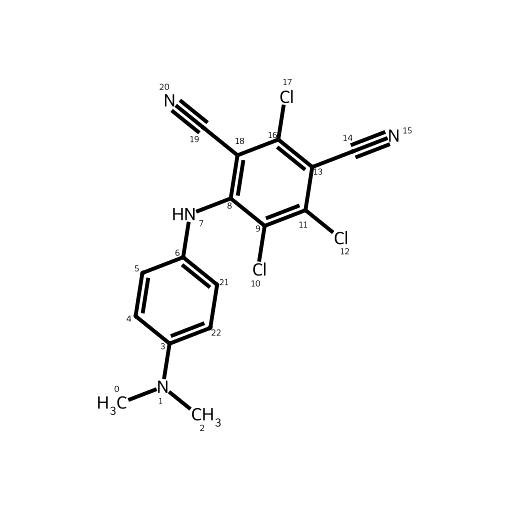 CN(C)c1ccc(Nc2c(Cl)c(Cl)c(C#N)c(Cl)c2C#N)cc1